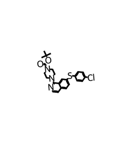 CC(C)(C)OC(=O)N1CCN(c2nccc3ccc(Sc4ccc(Cl)cc4)cc23)CC1